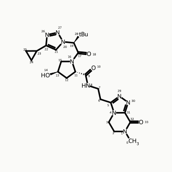 CN1CCn2c(CCNC(=O)[C@@H]3C[C@@H](O)CN3C(=O)[C@@H](n3cc(C4CC4)nn3)C(C)(C)C)nnc2C1=O